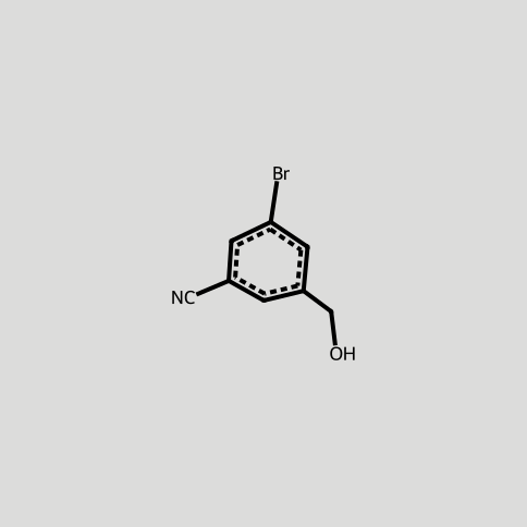 N#Cc1cc(Br)cc(CO)c1